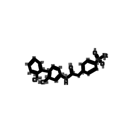 CCS(=O)(=O)c1ccc(CC(=O)Nc2ccc(-c3ccccc3C(F)(F)F)c(Cl)c2)cc1